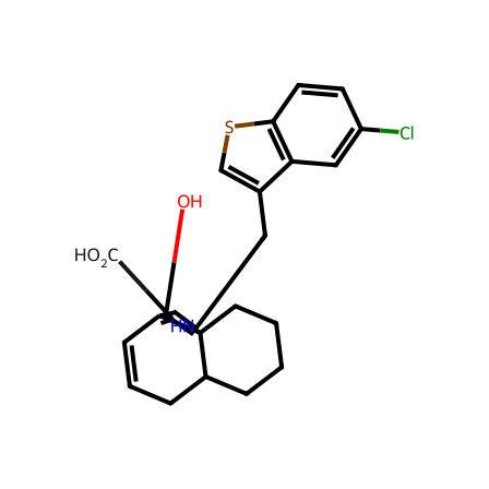 O=C(O)C1=C2C=CCC3CCCCC23NC(Cc2csc3ccc(Cl)cc23)=C1O